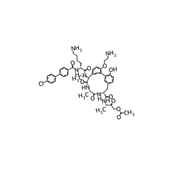 CC(=O)OCC(=O)[C@H](C)NC(=O)[C@@H]1Cc2ccc(O)c(c2)-c2cc(ccc2OCCN)[C@H](N(C)C(=O)[C@H](CCCCN)NC(=O)c2ccc(-c3ccc(Cl)cc3)cc2)C(=O)N[C@@H](C)C(=O)N1